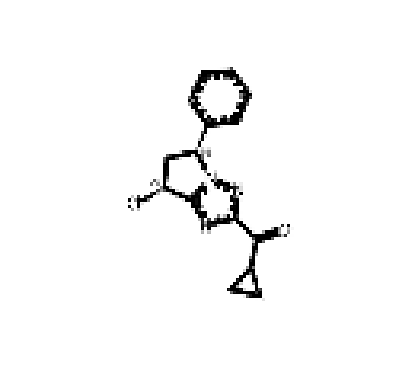 O=C(c1nc2n(n1)[C@H](c1ccccc1)C[C@@H]2Cl)C1CC1